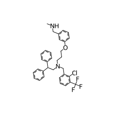 CNCc1cccc(OCCCN(Cc2cccc(C(F)(F)F)c2Cl)CC(c2ccccc2)c2ccccc2)c1